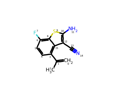 C=C(C)c1ccc(F)c2sc(N)c(C#N)c12